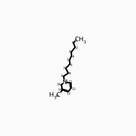 CCCCCCCCCCN1C=CC=C(C)C1